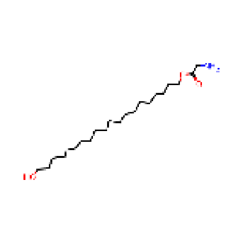 NCC(=O)OCCCCCCCCCCCCCCCCCCCCO